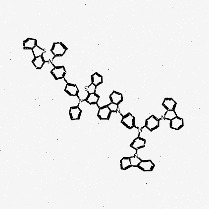 c1ccc(N(c2ccc(-c3ccc(N(c4ccccc4)c4cc(-c5cccc6c5c5ccccc5n6-c5ccc(N(c6ccc(-n7c8ccccc8c8ccccc87)cc6)c6ccc(-n7c8ccccc8c8ccccc87)cc6)cc5)cc5c4sc4ccccc45)cc3)cc2)c2cccc3c2sc2ccccc23)cc1